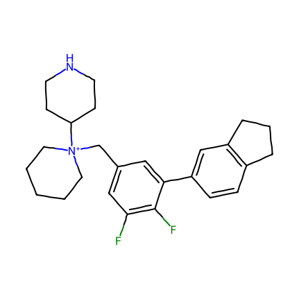 Fc1cc(C[N+]2(C3CCNCC3)CCCCC2)cc(-c2ccc3c(c2)CCC3)c1F